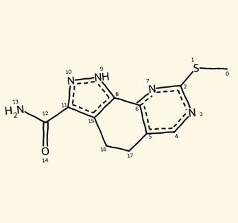 CSc1ncc2c(n1)-c1[nH]nc(C(N)=O)c1CC2